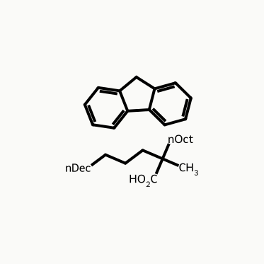 CCCCCCCCCCCCCC(C)(CCCCCCCC)C(=O)O.c1ccc2c(c1)Cc1ccccc1-2